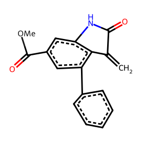 C=C1C(=O)Nc2cc(C(=O)OC)cc(-c3ccccc3)c21